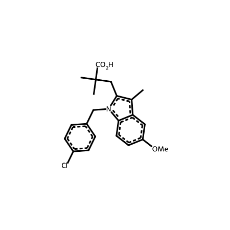 COc1ccc2c(c1)c(C)c(CC(C)(C)C(=O)O)n2Cc1ccc(Cl)cc1